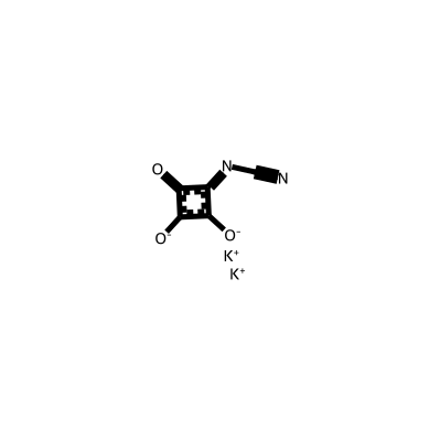 N#C/N=c1\c([O-])c([O-])c1=O.[K+].[K+]